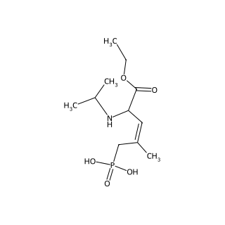 CCOC(=O)C(C=C(C)CP(=O)(O)O)NC(C)C